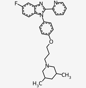 CC1CC(C)CN(CCCOc2ccc(-n3c(-c4ccccn4)nc4cc(F)ccc43)cc2)C1